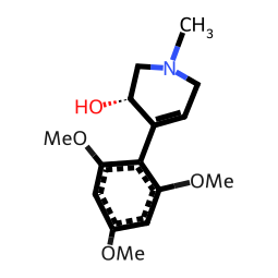 COc1cc(OC)c(C2=CCN(C)C[C@H]2O)c(OC)c1